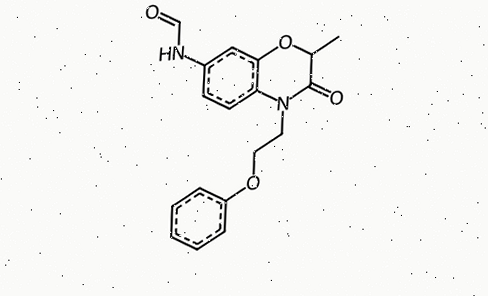 CC1Oc2cc(NC=O)ccc2N(CCOc2ccccc2)C1=O